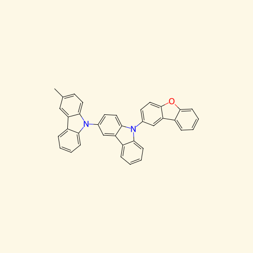 Cc1ccc2c(c1)c1ccccc1n2-c1ccc2c(c1)c1ccccc1n2-c1ccc2oc3ccccc3c2c1